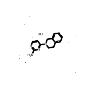 Cl.Nc1nccc(N2CCc3ccccc3C2)n1